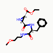 CCOC(=O)[C@H]1N[C@@H]1C(=O)N[C@@H](Cc1ccccc1)C(=O)NCCCOC